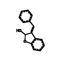 OC1Oc2ccccc2C1=Cc1ccccc1